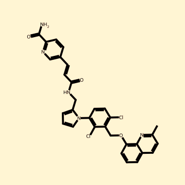 Cc1ccc2cccc(OCc3c(Cl)ccc(-n4cccc4CNC(=O)C=Cc4ccc(C(N)=O)nc4)c3Cl)c2n1